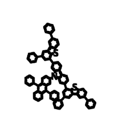 c1ccc(-c2ccc3sc4c(-c5ccc6c7ccc(-c8cc(-c9ccccc9)cc9c8sc8ccc(-c%10ccccc%10)cc89)cc7n(-c7ccc8c(-c9ccccc9)c9ccccc9c(-c9ccccc9)c8c7)c6c5)cc(-c5ccccc5)cc4c3c2)cc1